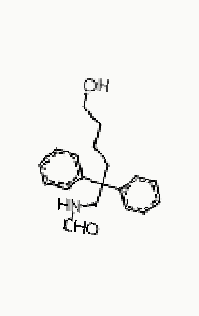 O=CNCC(CCCCO)(c1ccccc1)c1ccccc1